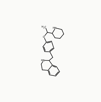 CC(Oc1ccc(CC2NCCc3ccccc32)cc1)C1CCCCN1